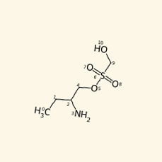 CCC(N)COS(=O)(=O)CO